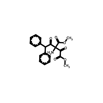 COC(=O)C(=O)C(N)(C(=O)OC)C(=O)C(c1ccccc1)c1ccccc1